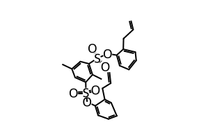 C=CCc1ccccc1OS(=O)(=O)c1cc(C)cc(S(=O)(=O)Oc2ccccc2CC=C)c1C